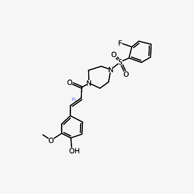 COc1cc(/C=C/C(=O)N2CCN(S(=O)(=O)c3ccccc3F)CC2)ccc1O